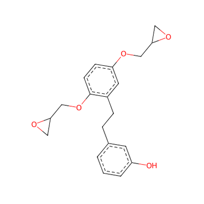 Oc1cccc(CCc2cc(OCC3CO3)ccc2OCC2CO2)c1